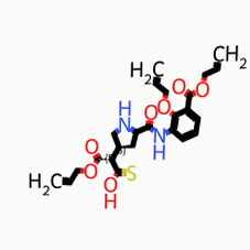 C=CCOC(=O)c1cccc(NC(=O)C2C[C@@H]([C@@H](C(=O)OCC=C)C(O)=S)CN2)c1OCC=C